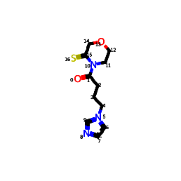 O=C(CCCn1c[c]nc1)N1CCOCC1=S